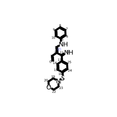 C=C/C(=C/Nc1ccccc1)C(=N)c1ccc(SN2CCOCC2)cc1